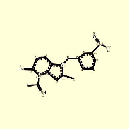 CC(=N)n1c(=N)ccc2c1cc(C)n2Cc1cccc([N+](=O)[O-])c1